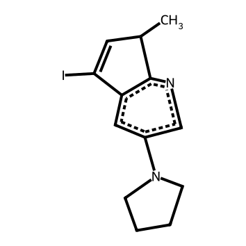 CC1C=C(I)c2cc(N3CCCC3)cnc21